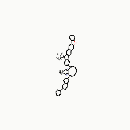 C/C=c1/c(-c2ccc3c(c2)-c2cc4cc5oc6ccccc6c5cc4cc2C3(C)C)ccccccc(-c2ccc3cc(-c4ccccc4)ccc3c2)/c1=C/C